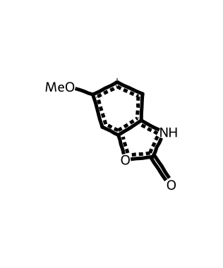 COc1[c]cc2[nH]c(=O)oc2c1